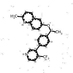 Cc1ccc2cc(OC(C)c3ccc(-c4cnccc4C(F)(F)F)cc3)ccc2n1